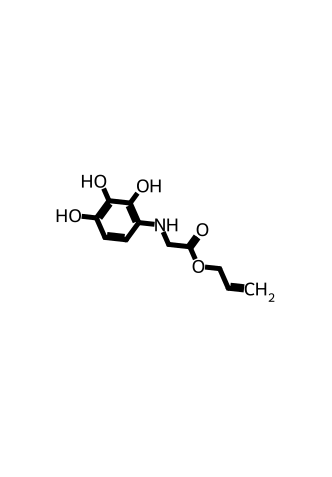 C=CCOC(=O)CNc1ccc(O)c(O)c1O